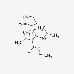 CCOC(=O)C(C(C)C)C(C)NC(C)C.O=C1CCCN1